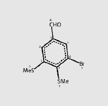 CSc1cc(C=O)cc(Br)c1SC